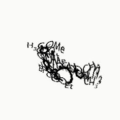 CCOC1C(OC)[C@H](O[C@H]2C[C@H]3[C@@H]4C=C5C(=O)[C@H](C)[C@@H](O[C@H]6CC[C@H](N(C)C)C(C)O6)CCC[C@H](CC)OC(=O)C[C@H]5[C@@H]4C(O)C(Br)[C@@H]3C2)OC(C)[C@@H]1OC